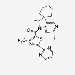 Cc1ccc(C2(C(C)NC(=O)c3sc(-c4ncccn4)nc3C(F)(F)F)CCCCC2)cn1